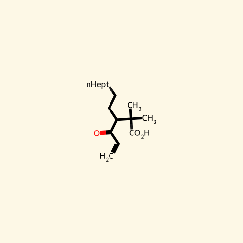 C=CC(=O)C(CCCCCCCCC)C(C)(C)C(=O)O